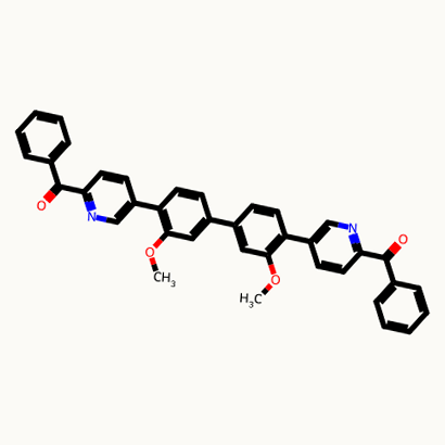 COc1cc(-c2ccc(-c3ccc(C(=O)c4ccccc4)nc3)c(OC)c2)ccc1-c1ccc(C(=O)c2ccccc2)nc1